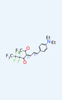 CCN(CC)c1ccc(/C=C/C=C(\C(=O)C(F)(F)F)C(=O)C(F)(F)C(F)(F)C(F)(F)F)cc1